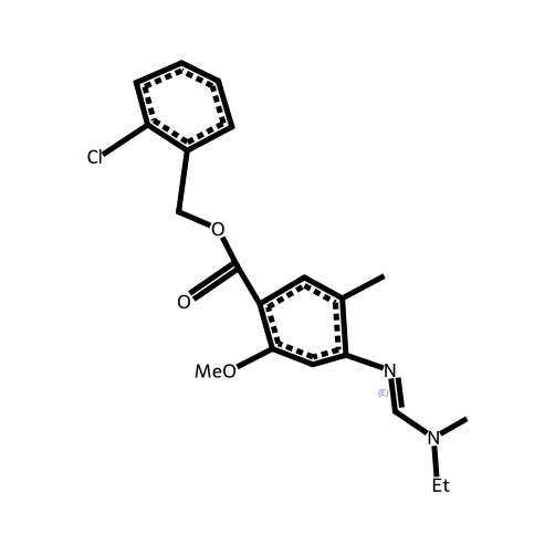 CCN(C)/C=N/c1cc(OC)c(C(=O)OCc2ccccc2Cl)cc1C